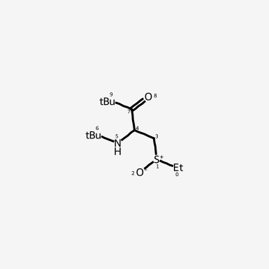 CC[S+]([O-])CC(NC(C)(C)C)C(=O)C(C)(C)C